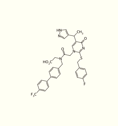 CC(c1cn[nH]c1)c1cn(CC(=O)N(CC(=O)O)Cc2ccc(-c3ccc(C(F)(F)F)cc3)cc2)c(SCc2ccc(F)cc2)nc1=O